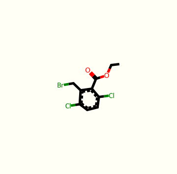 CCOC(=O)c1c(Cl)ccc(Cl)c1CBr